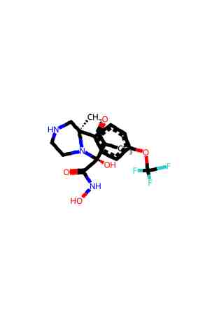 CC(C=O)[C@](O)(C(=O)NO)N1CCNC[C@@]1(C)c1ccc(OC(F)(F)F)cc1